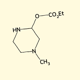 CCOC(=O)OC1CN(C)CCN1